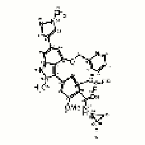 COc1cc(-c2c3c(OCc4ccccc4)cc(-c4cnn(C)c4)cc3nn2C)cc(OC(F)F)c1C(=O)N[C@@H]1C[C@@H]1F